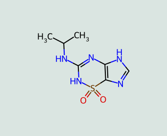 CC(C)NC1=Nc2[nH]cnc2S(=O)(=O)N1